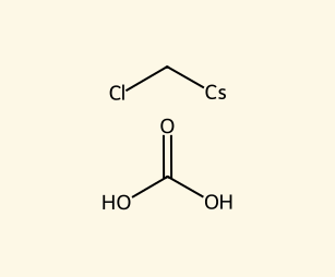 Cl[CH2][Cs].O=C(O)O